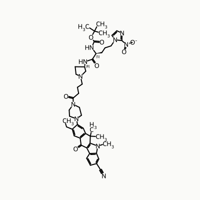 CCc1cc2c(cc1N1CCN(C(=O)CCCN3CC[C@@H](NC(=O)[C@H](CCCn4ccnc4[N+](=O)[O-])NC(=O)OC(C)(C)C)C3)CC1)C(C)(C)c1c(c3ccc(C#N)cc3n1C)C2=O